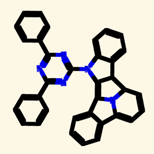 C1=CC2C3C(=c4c5ccccc5c(n42)=C1)N(c1nc(-c2ccccc2)nc(-c2ccccc2)n1)c1ccccc13